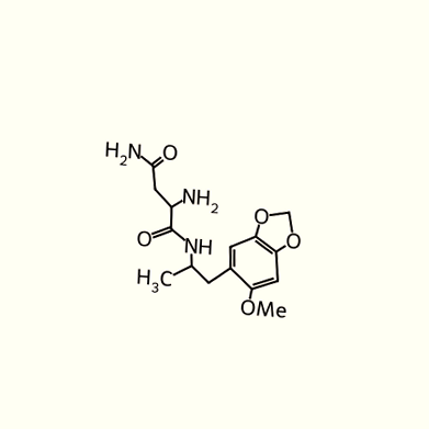 COc1cc2c(cc1CC(C)NC(=O)C(N)CC(N)=O)OCO2